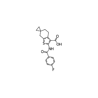 O=C(Nc1sc2c(c1C(=O)O)CCC1(CC1)C2)c1ccc(F)cc1